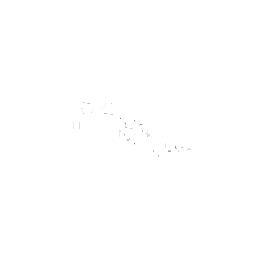 CNC(=O)[C@H]1O[C@@H](n2cnc3c(NCc4cc(Cl)ccc4OC(C)c4ccccc4)ncnc32)[C@H](O)[C@@H]1N